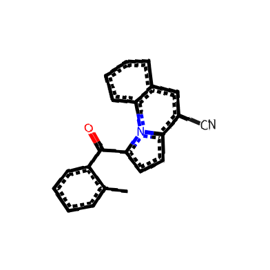 Cc1ccccc1C(=O)c1ccc2c(C#N)cc3ccccc3n12